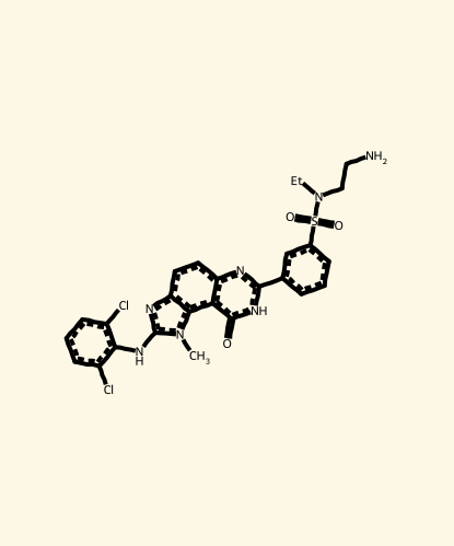 CCN(CCN)S(=O)(=O)c1cccc(-c2nc3ccc4nc(Nc5c(Cl)cccc5Cl)n(C)c4c3c(=O)[nH]2)c1